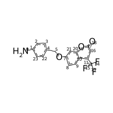 Nc1ccc(COc2ccc3c(C(F)(F)F)cc(=O)oc3c2)cc1